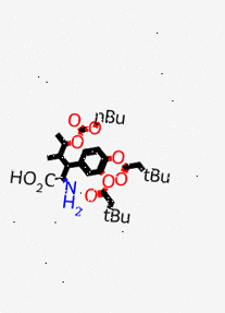 CCCCOC(=O)OC(C)C(C)C(c1ccc(OC(=O)CC(C)(C)C)c(OC(=O)CC(C)(C)C)c1)[C@H](N)C(=O)O